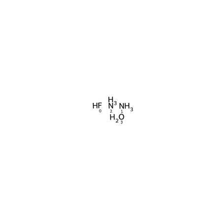 F.N.N.O